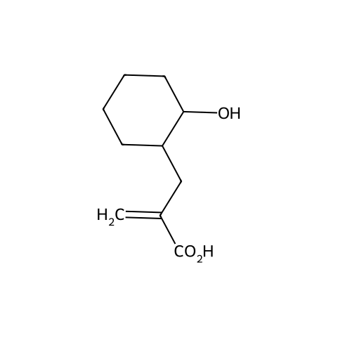 C=C(CC1CCCCC1O)C(=O)O